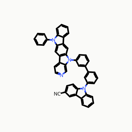 N#Cc1ccc2c(c1)c1ccccc1n2-c1cccc(-c2cccc(-n3c4cnccc4c4cc5c(cc43)c3ccccc3n5-c3ccccc3)c2)c1